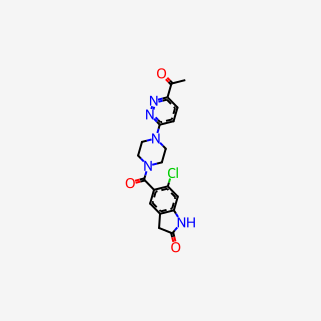 CC(=O)c1ccc(N2CCN(C(=O)c3cc4c(cc3Cl)NC(=O)C4)CC2)nn1